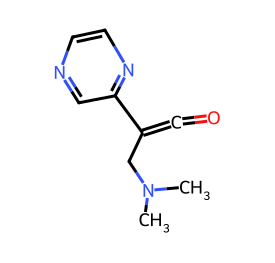 CN(C)CC(=C=O)c1cnccn1